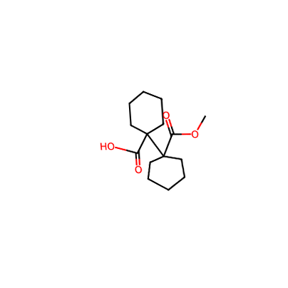 COC(=O)C1(C2(C(=O)O)CCCCC2)CCCCC1